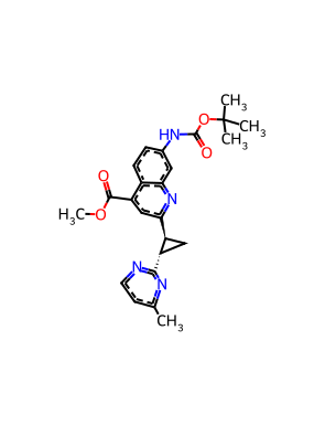 COC(=O)c1cc([C@H]2C[C@@H]2c2nccc(C)n2)nc2cc(NC(=O)OC(C)(C)C)ccc12